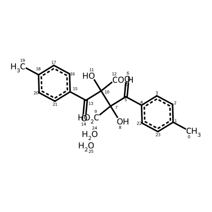 Cc1ccc(C(=O)C(O)(C(=O)O)C(O)(C(=O)O)C(=O)c2ccc(C)cc2)cc1.O.O